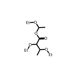 CCOC(C)OC(=O)C(OCC)C(C)OCC